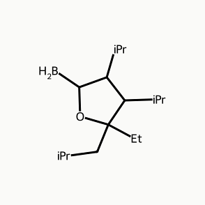 BC1OC(CC)(CC(C)C)C(C(C)C)C1C(C)C